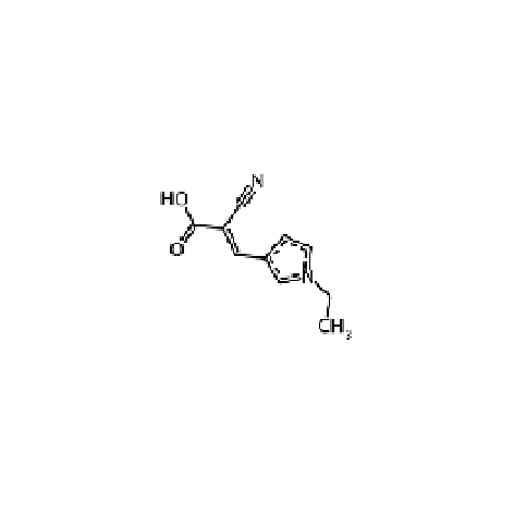 CCn1ccc(/C=C(\C#N)C(=O)O)c1